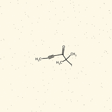 CC#CC(=O)C(C)(C)I